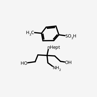 CCCCCCCC(CN)(CCO)CCO.Cc1ccc(S(=O)(=O)O)cc1